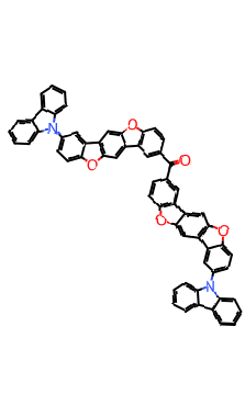 O=C(c1ccc2oc3cc4c(cc3c2c1)oc1ccc(-n2c3ccccc3c3ccccc32)cc14)c1ccc2oc3cc4c(cc3c2c1)oc1ccc(-n2c3ccccc3c3ccccc32)cc14